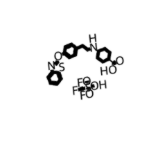 O=C(O)[C@H]1CC[C@@H](NCCc2ccc(Oc3nc4ccccc4s3)cc2)CC1.O=S(=O)(O)C(F)(F)F